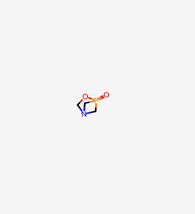 O=P12CN(CO1)C2